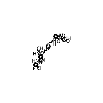 C=CC(=O)Nc1cc2c(Nc3ccc(F)c(Cl)c3)ncnc2cc1OCCCN1CCN(CCCNc2cccc3c2C(=O)N(C2CCC(=O)NC2=O)C3=O)CC1